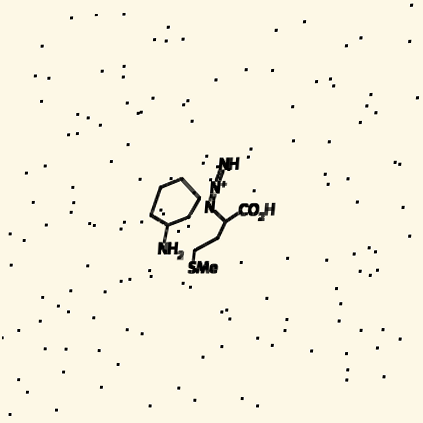 CSCCC(N=[N+]=N)C(=O)O.NC1CCCCC1